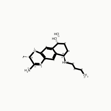 C[C@@H]1Oc2cc3c(cc2N=C1N)[C@H](NCCCC(F)(F)F)CCC3.Cl.Cl